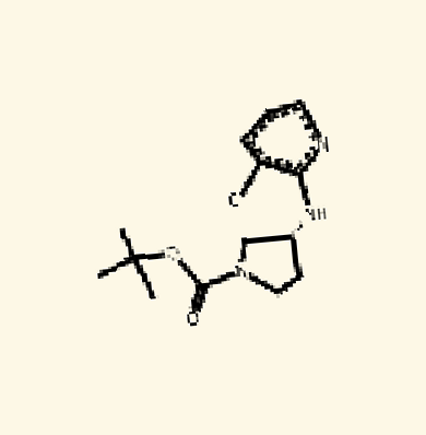 CC(C)(C)OC(=O)N1CC[C@@H](Nc2ncccc2Cl)C1